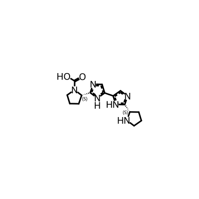 O=C(O)N1CCC[C@H]1c1ncc(-c2cnc([C@@H]3CCCN3)[nH]2)[nH]1